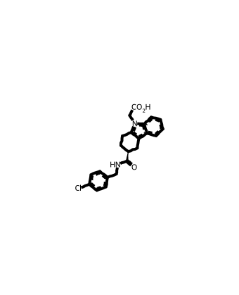 O=C(O)Cn1c2c(c3ccccc31)C[C@@H](C(=O)NCc1ccc(Cl)cc1)CC2